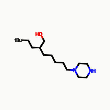 CC(C)(C)CC[C@@H](CO)CCCCCN1CCNCC1